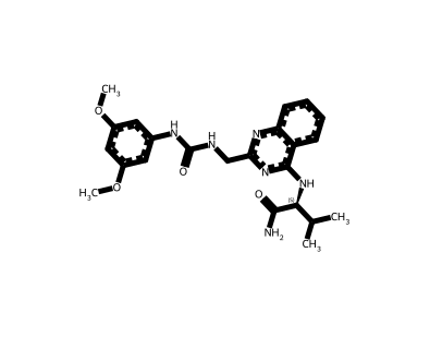 COc1cc(NC(=O)NCc2nc(N[C@H](C(N)=O)C(C)C)c3ccccc3n2)cc(OC)c1